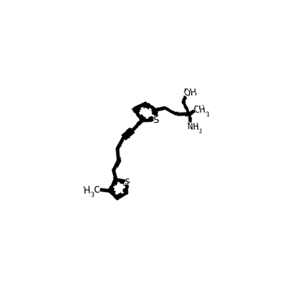 Cc1ccsc1CCCC#Cc1ccc(CCC(C)(N)CO)s1